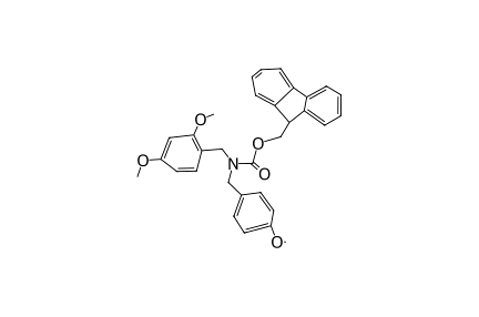 COc1ccc(CN(Cc2ccc([O])cc2)C(=O)OCC2c3ccccc3-c3ccccc32)c(OC)c1